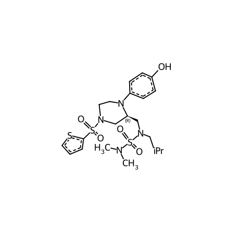 CC(C)CN(C[C@H]1CN(S(=O)(=O)c2cccs2)CCN1c1ccc(O)cc1)S(=O)(=O)N(C)C